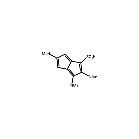 CNC1=CC2=C(NC)C(NC)=C(S(=O)(=O)O)C2=C1